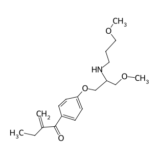 C=C(CC)C(=O)c1ccc(OCC(COC)NCCCOC)cc1